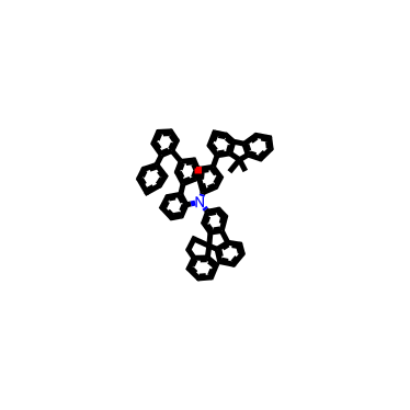 CC1(C)c2ccccc2-c2cccc(-c3ccc(N(c4ccc5c(c4)C4(CCc6ccccc64)c4ccccc4-5)c4ccccc4-c4cccc(-c5ccccc5-c5ccccc5)c4)cc3)c21